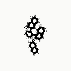 c1ccc2cc(-n3c4ccc5ccccc5c4c4c5c(ccc43)sc3cc4ccccc4cc35)ccc2c1